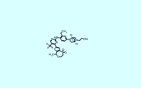 CCc1nc(N2C[C@H]3C[C@@H]2CN3CCO)ccc1Nc1ncc(C(F)(F)F)c(-c2cc3c(s2)C(C)OCCS3(=O)=O)n1